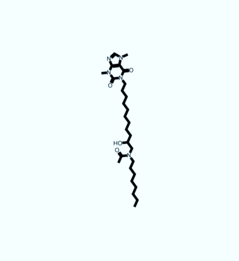 CCCCCCCCN(CC(O)CCCCCCCCCn1c(=O)c2c(ncn2C)n(C)c1=O)C(C)=O